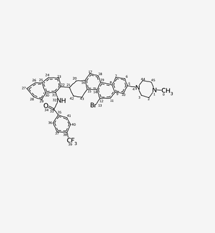 CN1CCN(c2ccc3c(c2)cc(Br)c2c4c(ccc23)CC(c2ccc3ccccc3c2NC(=O)c2ccc(C(F)(F)F)cc2)CC4)CC1